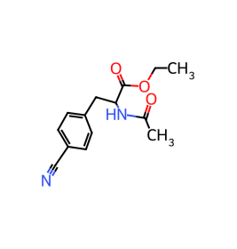 CCOC(=O)C(Cc1ccc(C#N)cc1)NC(C)=O